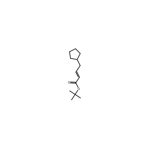 CC(C)(C)OC(=O)/C=C/CC1CCCC1